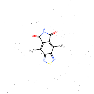 Cc1c2c(c(C)c3nsnc13)C(=O)NC2=O